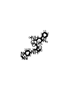 CNC(=O)C1Cc2c(n(C)c3ccccc23)CN1C(=O)c1occc1CNc1ccc2nccnc2c1